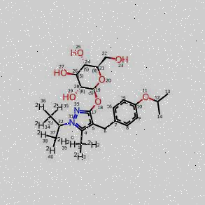 [2H]C([2H])([2H])c1c(Cc2ccc(OC(C)C)cc2)c(O[C@@H]2O[C@H](CO)[C@@H](O)[C@H](O)[C@H]2O)nn1C(C([2H])([2H])[2H])C([2H])([2H])[2H]